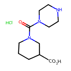 Cl.O=C(O)C1CCCN(C(=O)N2CCNCC2)C1